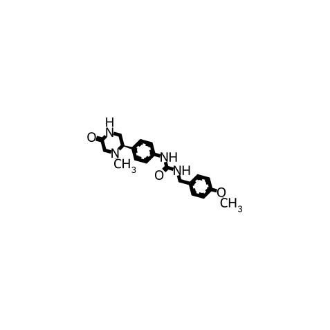 COc1ccc(CNC(=O)Nc2ccc([C@@H]3CNC(=O)CN3C)cc2)cc1